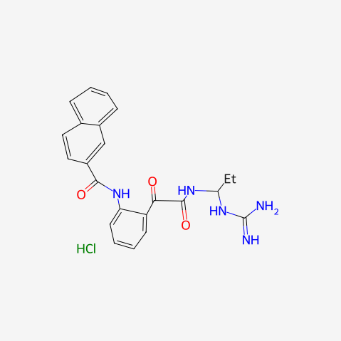 CCC(NC(=N)N)NC(=O)C(=O)c1ccccc1NC(=O)c1ccc2ccccc2c1.Cl